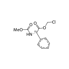 COC(=O)N[C@H](C(=O)OCCl)c1ccccc1